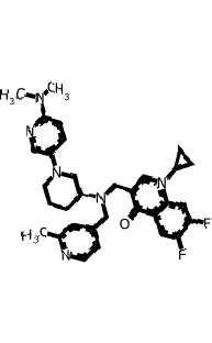 Cc1cc(CN(Cc2cn(C3CC3)c3cc(F)c(F)cc3c2=O)[C@H]2CCCN(c3ccc(N(C)C)nc3)C2)ccn1